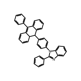 C1=CC2=C(c3ccccc3)c3ccccc3C(c3ccc(-n4c(-c5ccccc5)nc5ccccc54)cc3)C2C=C1